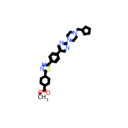 COC(=O)C1CCC(c2nnc(-c3ccc(-c4cnc(N5CCN(CC6CCCC6)CC5)nc4)cc3)s2)CC1